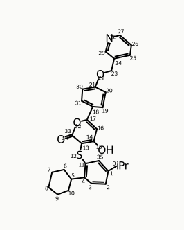 CC(C)c1ccc(C2CCCCC2)c(Sc2c(O)cc(-c3ccc(OCc4cccnc4)cc3)oc2=O)c1